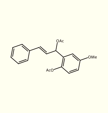 COc1ccc(OC(C)=O)c(C(/C=C/c2ccccc2)OC(C)=O)c1